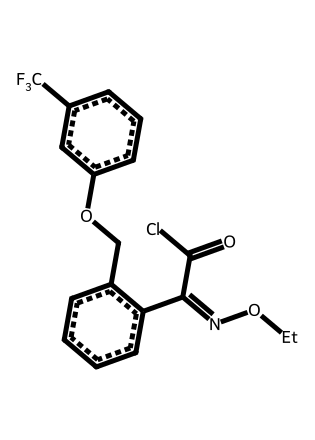 CCO/N=C(\C(=O)Cl)c1ccccc1COc1cccc(C(F)(F)F)c1